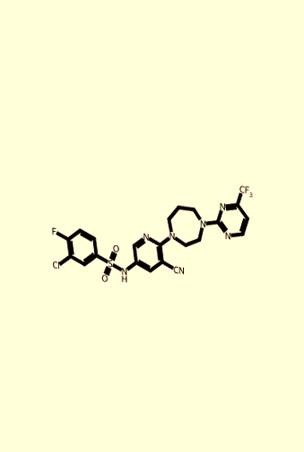 N#Cc1cc(NS(=O)(=O)c2ccc(F)c(Cl)c2)cnc1N1CCCN(c2nccc(C(F)(F)F)n2)CC1